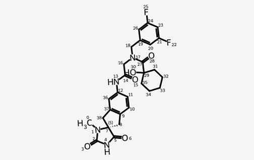 CN1C(=O)NC(=O)[C@@]12Cc1ccc(NC(=O)CN(Cc3cc(F)cc(F)c3)C(=O)C3(O)CCCCC3)cc1C2